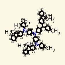 Cc1ccc(C(c2ccc(N(c3ccc(N(c4ccc(C)cc4)c4ccc5c(c4)C(C)(C)c4ccccc4-5)cc3)c3ccc(N(c4ccc(C)cc4)c4ccc5c(c4)C(C)(C)c4ccccc4-5)cc3)cc2)c2ccc3c(c2)C(C)(C)c2ccccc2-3)cc1